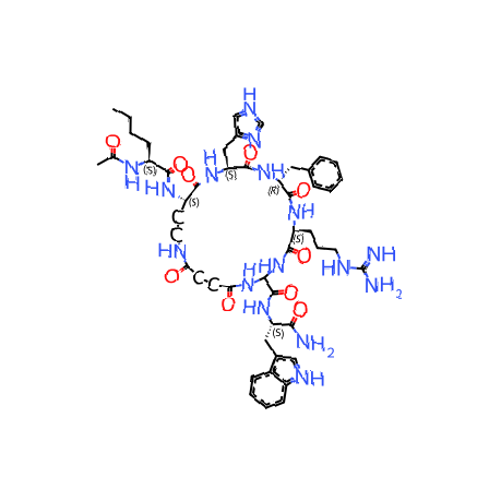 CCCC[C@H](NC(C)=O)C(=O)N[C@H]1CCNC(=O)CCC(=O)NC(C(=O)N[C@@H](Cc2c[nH]c3ccccc23)C(N)=O)NC(=O)[C@H](CCCNC(=N)N)NC(=O)[C@@H](Cc2ccccc2)NC(=O)[C@H](Cc2c[nH]cn2)NC1=O